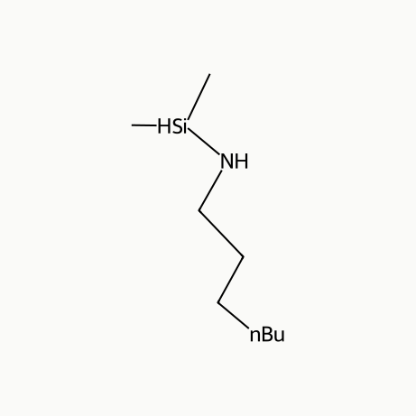 CCCCCCCN[SiH](C)C